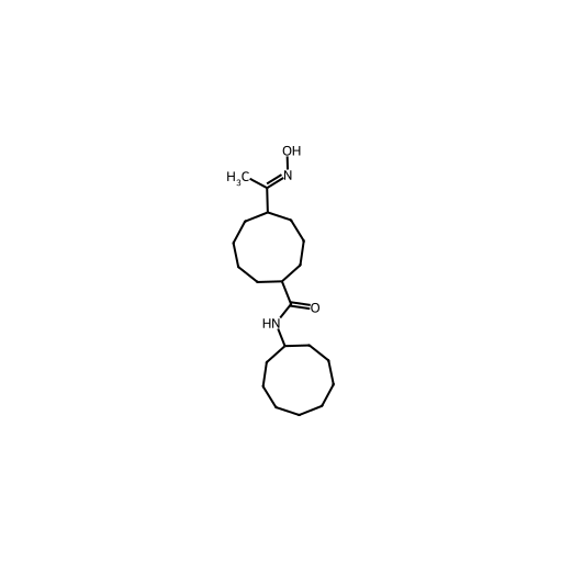 C/C(=N\O)C1CCCCC(C(=O)NC2CCCCCCCC2)CCC1